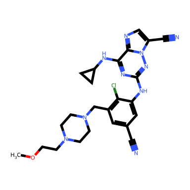 COCCN1CCN(Cc2cc(C#N)cc(Nc3nc(NC4CC4)c4ncc(C#N)n4n3)c2Cl)CC1